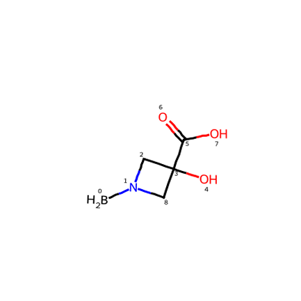 BN1CC(O)(C(=O)O)C1